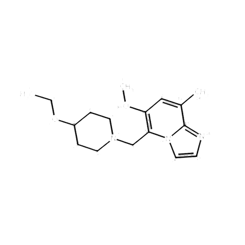 CCOC1CCN(Cc2c(OC)cc(C)c3nccn23)CC1